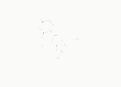 C=C1NC(=O)C=CN1[C@@H]1O[C@@](CO)(N=[N+]=[N-])C(O)[C@@H]1O